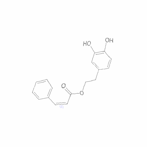 O=C(/C=C\c1ccccc1)OCCc1ccc(O)c(O)c1